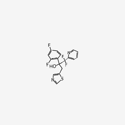 OC(Cc1cncs1)(c1ccc(F)cc1F)C(F)(F)c1ccccn1